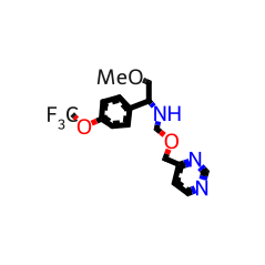 COCC(NCOCc1ccncn1)c1ccc(OC(F)(F)F)cc1